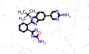 CC(C)(C)n1c(-c2ccccc2-c2noc(N)n2)nc2cc(-c3cnc(N)nc3)ccc21